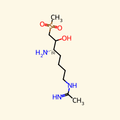 CC(=N)NCCCC[C@H](N)C(O)CS(C)(=O)=O